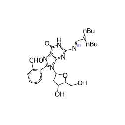 CCCCN(/C=N/c1nc2c(nc(-c3ccccc3C=O)n2C2CC(O)C(CO)O2)c(=O)[nH]1)CCCC